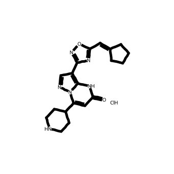 Cl.O=c1cc(C2CCNCC2)n2ncc(-c3noc(C=C4CCCC4)n3)c2[nH]1